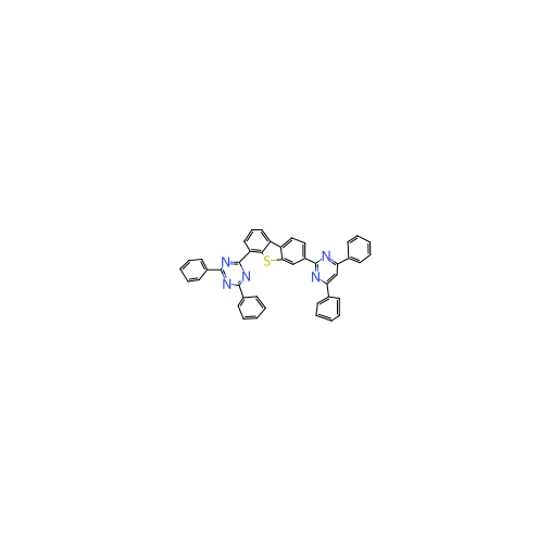 c1ccc(-c2cc(-c3ccccc3)nc(-c3ccc4c(c3)sc3c(-c5nc(-c6ccccc6)nc(-c6ccccc6)n5)cccc34)n2)cc1